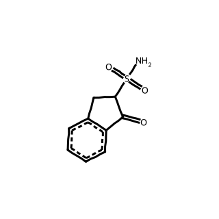 NS(=O)(=O)C1Cc2ccccc2C1=O